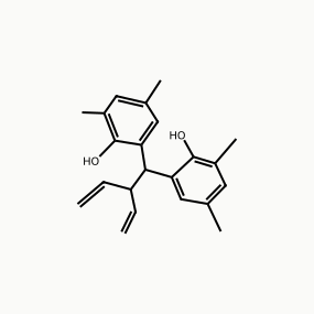 C=CC(C=C)C(c1cc(C)cc(C)c1O)c1cc(C)cc(C)c1O